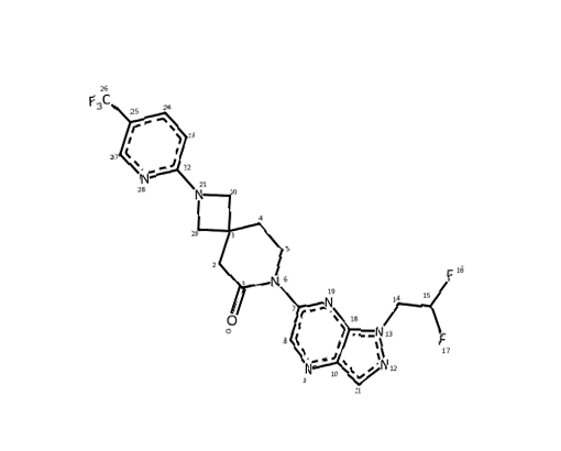 O=C1CC2(CCN1c1cnc3cnn(CC(F)F)c3n1)CN(c1ccc(C(F)(F)F)cn1)C2